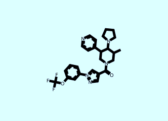 CC1CN(C(=O)c2cnn(-c3cccc(OC(F)(F)F)c3)c2)CC(c2ccncc2)C1N1CCCC1